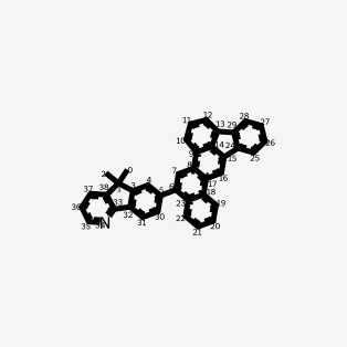 CC1(C)c2cc(-c3cc4c5cccc6c5c(cc4c4ccccc34)-c3ccccc3-6)ccc2-c2ncccc21